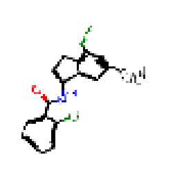 O=C(O)c1cc(F)c2c(c1)C(NC(=O)c1ccccc1Cl)CC2